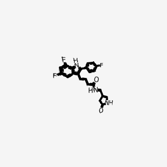 O=C(CCCc1c(-c2ccc(F)cc2)[nH]c2c(F)cc(F)cc12)NCC1CNC(=O)C1